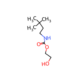 CC(C)(C)CCNC(=O)OCCO